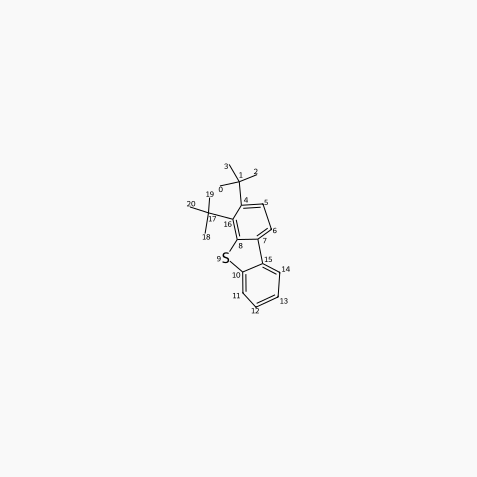 CC(C)(C)c1ccc2c(sc3ccccc32)c1C(C)(C)C